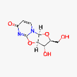 O=c1ccn2c(n1)O[C@@H]1[C@@H](O)[C@H](CO)O[C@@H]12